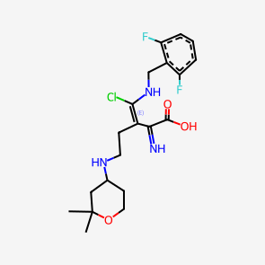 CC1(C)CC(NCC/C(C(=N)C(=O)O)=C(\Cl)NCc2c(F)cccc2F)CCO1